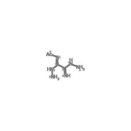 CC(=O)N=C(NN)C(=N)NN